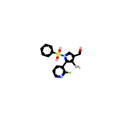 Cc1c(C=O)cn(S(=O)(=O)c2ccccc2)c1-c1cccnc1F